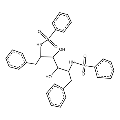 O=S(=O)(NC(Cc1ccccc1)C(O)C(O)C(Cc1ccccc1)NS(=O)(=O)c1ccccc1)c1ccccc1